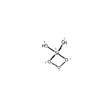 O[Si]1(O)OOO1